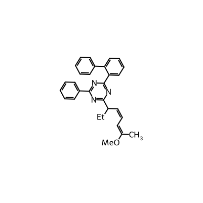 CCC(/C=C\C=C(/C)OC)c1nc(-c2ccccc2)nc(-c2ccccc2-c2ccccc2)n1